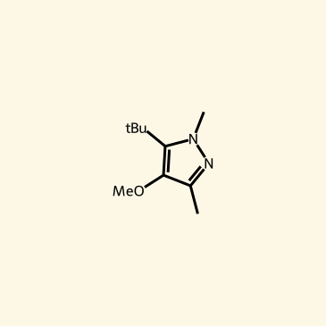 COc1c(C)nn(C)c1C(C)(C)C